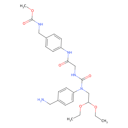 CCOC(CN(C(=O)NCC(=O)Nc1ccc(CNC(=O)OC)cc1)c1ccc(CN)cc1)OCC